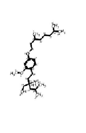 COc1cc(OCCC(C)CCCC(C)C)ccc1CC[C@@](N)(CO)CC(C)C